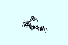 COc1cc(OCCCN(C)C)c(-c2cn3ccc(N4CCC(NC(=O)C(C)(C)C)CC4)cc3n2)cc1Cl